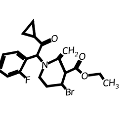 C=C1C(C(=O)OCC)C(Br)CCN1C(C(=O)C1CC1)c1ccccc1F